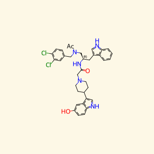 CC(=O)N(Cc1ccc(Cl)c(Cl)c1)C[C@@H](Cc1c[nH]c2ccccc12)NC(=O)CN1CCC(c2c[nH]c3ccc(O)cc23)CC1